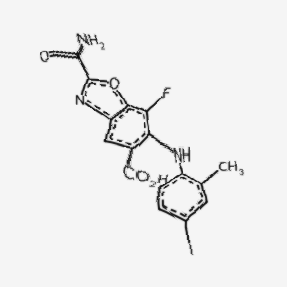 Cc1cc(I)ccc1Nc1c(C(=O)O)cc2nc(C(N)=O)oc2c1F